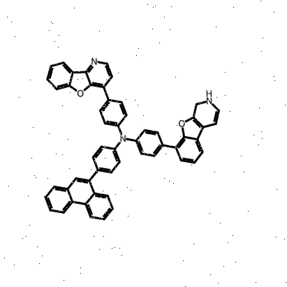 C1=Cc2c(oc3c(-c4ccc(N(c5ccc(-c6cc7ccccc7c7ccccc67)cc5)c5ccc(-c6ccnc7c6oc6ccccc67)cc5)cc4)cccc23)CN1